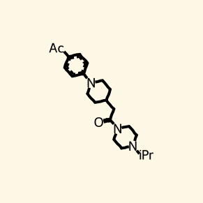 CC(=O)c1ccc(N2CCC(CC(=O)N3CCN(C(C)C)CC3)CC2)cc1